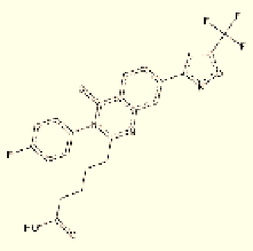 O=C(O)CCCCc1nc2cc(-c3cc(C(F)(F)F)on3)ccc2c(=O)n1-c1ccc(F)cc1